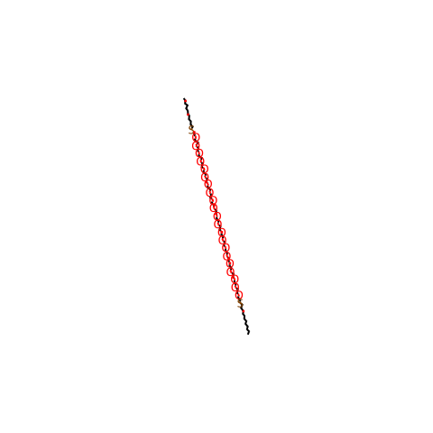 CCCCCCCCCCCCSCCOCCOCCOCCOCCOCCOCCOCCOCCOCCOCCOCCOCCOCCOCCOCCOCCOCCOCCOCCOCCOCCSCCCCCCCCCCCC